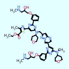 CCOC(=O)c1sc(-c2cc(N(Cc3cc4ncc(-c5cc(N(C)C6CCOCC6)nc(-c6cccc(OCC(O)CNC)c6)n5)cn4n3)C3CCOCC3)nc(-c3cccc(OCC(O)CNC)c3)n2)nc1C